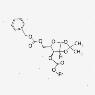 CC(C)OC(=O)O[C@H]1[C@@H](COC(=O)OCc2ccccc2)OC2OC(C)(C)O[C@@H]21